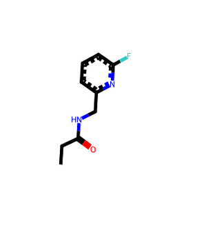 CCC(=O)NCc1cccc(F)n1